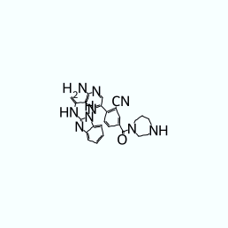 C=C(Nc1nc2ccccc2[nH]1)c1nc(-c2ccc(C(=O)N3CCCNCC3)cc2C#N)cnc1N